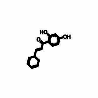 O=C(C=CC1C=CC=CC1)c1ccc(O)cc1O